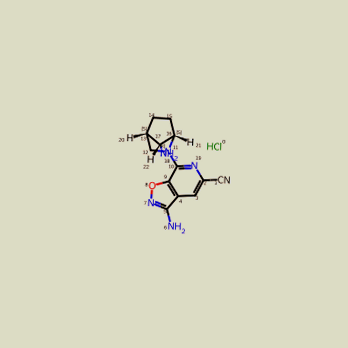 Cl.N#Cc1cc2c(N)noc2c(N2C[C@@H]3CC[C@H]2[C@@H]3N)n1